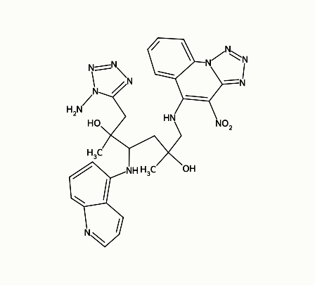 CC(O)(CNc1c([N+](=O)[O-])c2nnnn2c2ccccc12)CC(Nc1cccc2ncccc12)C(C)(O)Cc1nnnn1N